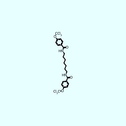 O=C(NCCCCCCCNC(=O)c1ccc(OC(Cl)(Cl)Cl)cc1)c1ccc(OC(Cl)(Cl)Cl)cc1